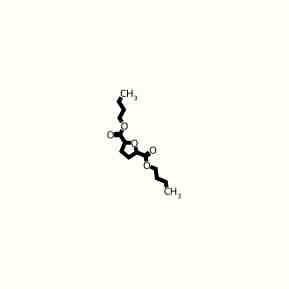 CCCCOC(=O)C1CCC(C(=O)OCCCC)O1